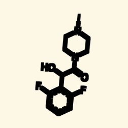 O=C(C(O)c1c(F)cccc1F)N1CCN(I)CC1